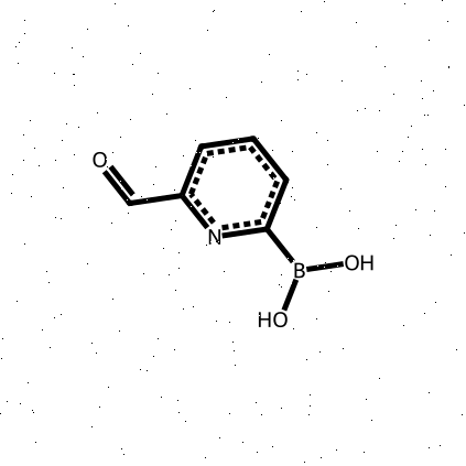 O=Cc1cccc(B(O)O)n1